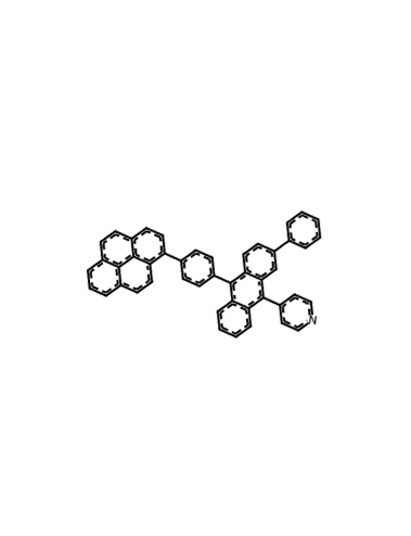 c1ccc(-c2ccc3c(-c4ccc(-c5ccc6ccc7cccc8ccc5c6c78)cc4)c4ccccc4c(-c4ccncc4)c3c2)cc1